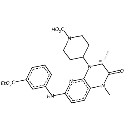 CCOC(=O)c1cccc(Nc2ccc3c(n2)N(C2CCN(C(=O)O)CC2)[C@H](C)C(=O)N3C)c1